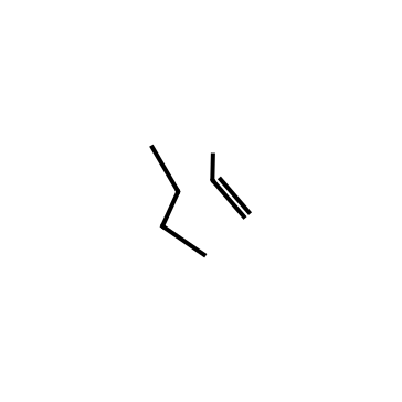 C=CC.CCCC